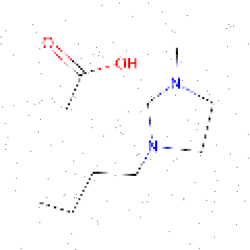 CC(=O)O.CCCCN1CCN(C)C1